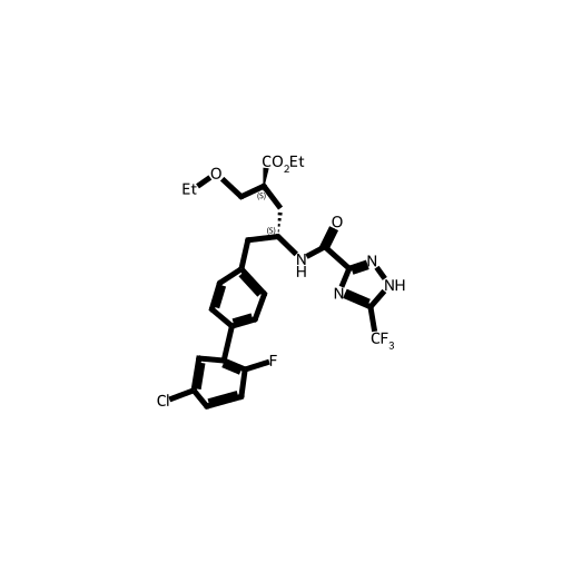 CCOC[C@H](C[C@@H](Cc1ccc(-c2cc(Cl)ccc2F)cc1)NC(=O)c1n[nH]c(C(F)(F)F)n1)C(=O)OCC